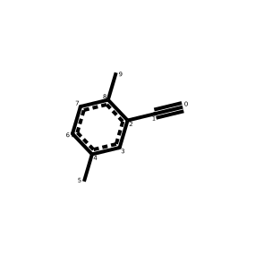 C#Cc1cc(C)[c]cc1C